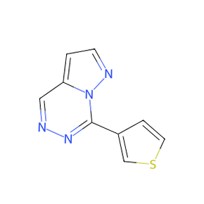 c1cc2cnnc(-c3ccsc3)n2n1